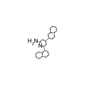 Nc1cc(-c2ccc3ccccc3c2)cc(-c2cccc3ccccc23)n1